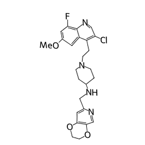 COc1cc(F)c2ncc(Cl)c(CCN3CCC(NCc4cc5c(cn4)OCCO5)CC3)c2c1